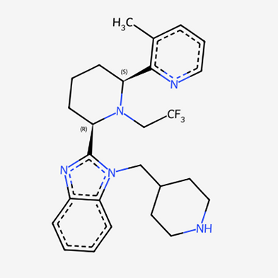 Cc1cccnc1[C@@H]1CCC[C@H](c2nc3ccccc3n2CC2CCNCC2)N1CC(F)(F)F